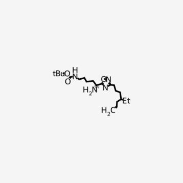 C=CCC(CC)CCCc1noc([C@@H](N)CCCCNC(=O)OC(C)(C)C)n1